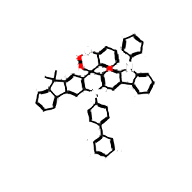 CC1(C)c2ccccc2-c2cc3c(cc21)C1(c2ccccc2Oc2ccccc21)c1cc2c(cc1N3c1ccc(-c3ccccc3)cc1)c1ccccc1n2-c1ccccc1